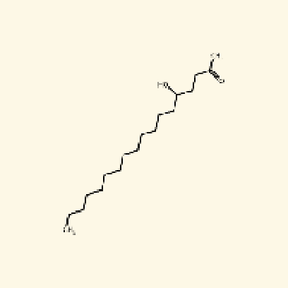 CCCCCCCCCCCCCC(O)CCC(C)=O